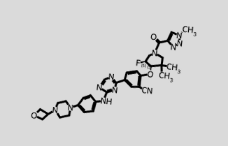 Cn1cc(C(=O)N2C[C@H](F)[C@@H](Oc3ccc(-c4ncnc(Nc5ccc(N6CCN(C7COC7)CC6)cc5)n4)cc3C#N)C(C)(C)C2)nn1